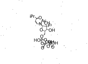 CC(=O)N(/C=C\C(=O)C(C)C)[C@@H]1O[C@H](COP(=O)(O)OP(=O)(O)OP(=O)(O)O)C(O)[C@@]1(C)F